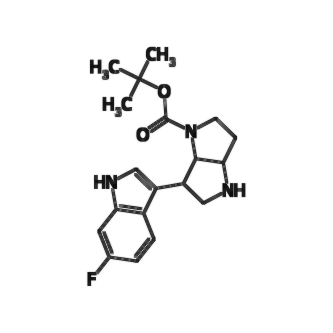 CC(C)(C)OC(=O)N1CCC2NCC(c3c[nH]c4cc(F)ccc34)C21